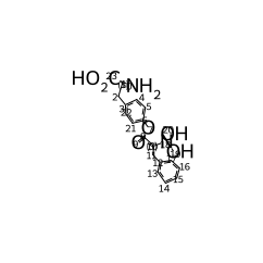 N[C@@H](Cc1ccc(OC(=O)[C@H](Cc2ccccc2)N(O)O)cc1)C(=O)O